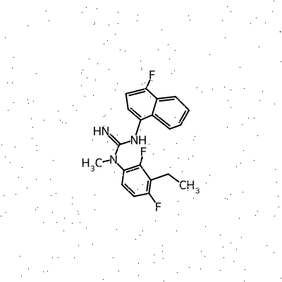 CCc1c(F)ccc(N(C)C(=N)Nc2ccc(F)c3ccccc23)c1F